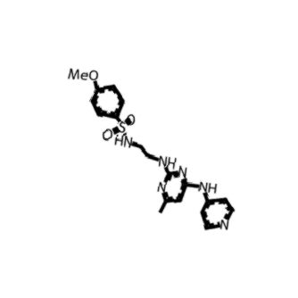 COc1ccc(S(=O)(=O)NCCNc2nc(C)cc(Nc3ccncc3)n2)cc1